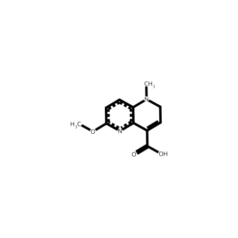 COc1ccc2c(n1)C(C(=O)O)=CCN2C